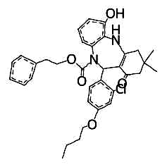 CCCCOc1ccc(C2C3=C(CC(C)(C)CC3=O)Nc3c(O)cccc3N2C(=O)OCCc2ccccc2)c(Cl)c1